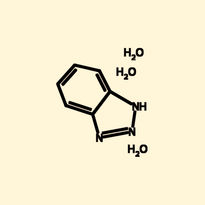 O.O.O.c1ccc2[nH]nnc2c1